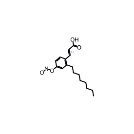 CCCCCCCCc1cc(ON=O)ccc1/C=C/C(=O)O